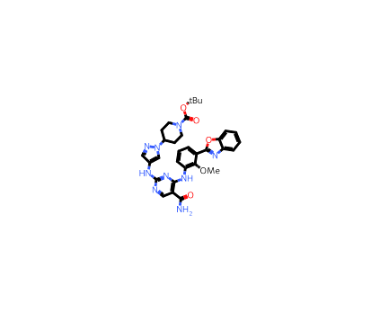 COc1c(Nc2nc(Nc3cnn(C4CCN(C(=O)OC(C)(C)C)CC4)c3)ncc2C(N)=O)cccc1-c1nc2ccccc2o1